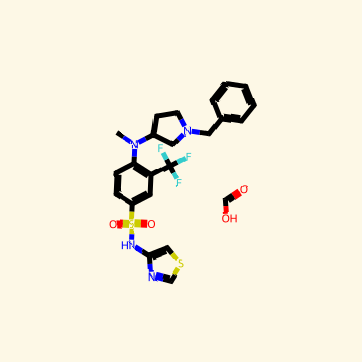 CN(c1ccc(S(=O)(=O)Nc2cscn2)cc1C(F)(F)F)C1CCN(Cc2ccccc2)C1.O=CO